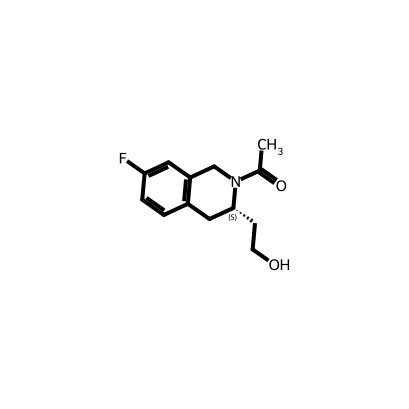 CC(=O)N1Cc2cc(F)ccc2C[C@H]1CCO